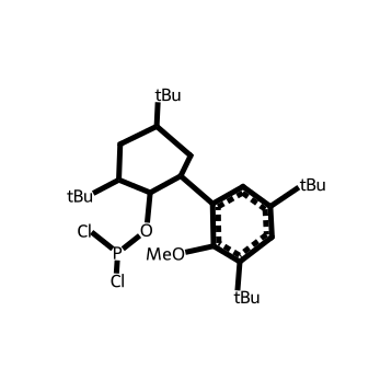 COc1c(C2CC(C(C)(C)C)CC(C(C)(C)C)C2OP(Cl)Cl)cc(C(C)(C)C)cc1C(C)(C)C